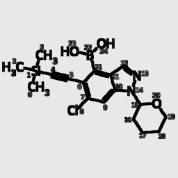 C[Si](C)(C)C#Cc1c(Cl)cc2c(cnn2C2CCCCO2)c1B(O)O